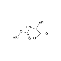 CCCCOC(=O)NC(CCC)C(=O)Cl